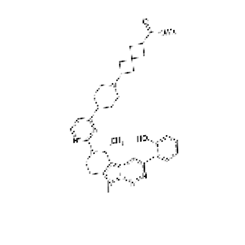 COC(=O)C1CC2(C1)CC(N1CCC(c3ccnc(N4CCc5[nH]c6nnc(-c7ccccc7O)cc6c5[C@H]4C)n3)CC1)C2